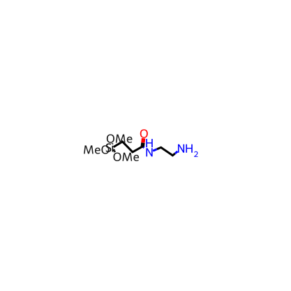 CO[Si](CCC(=O)NCCN)(OC)OC